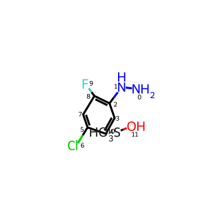 NNc1ccc(Cl)cc1F.O=S(=O)(O)O